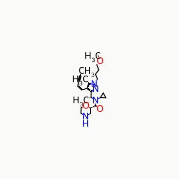 CC#C/C=C\c1c([C@@H](C)N(C(=O)[C@H]2CNCCO2)C2CC2)nn(CCCCOC)c1C